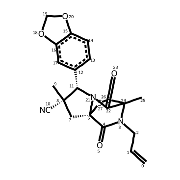 C=CCN1C(=O)[C@@]23C[C@](C)(C#N)[C@H](c4ccc5c(c4)OCO5)N2C(=O)C1(C)SS3